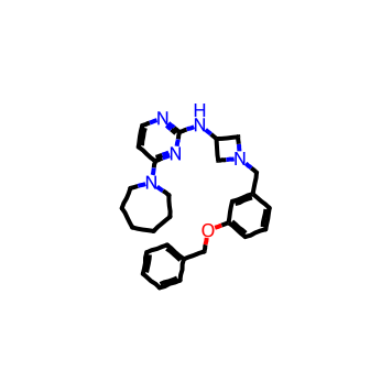 c1ccc(COc2cccc(CN3CC(Nc4nccc(N5CCCCCC5)n4)C3)c2)cc1